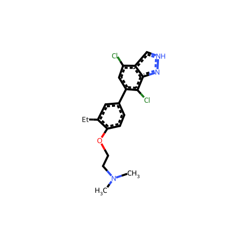 CCc1cc(-c2cc(Cl)c3c[nH]nc3c2Cl)ccc1OCCN(C)C